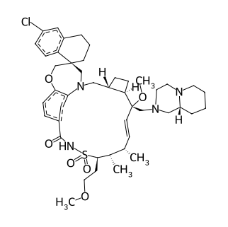 COCC[C@@H]1[C@@H](C)[C@@H](C)/C=C/[C@@](CN2CCN3CCCC[C@@H]3C2)(OC)[C@@H]2CC[C@H]2CN2C[C@@]3(CCCc4cc(Cl)ccc43)COc3ccc(cc32)C(=O)NS1(=O)=O